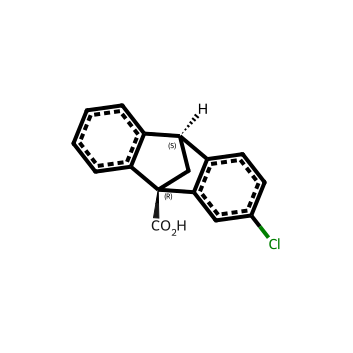 O=C(O)[C@]12C[C@@H](c3ccccc31)c1ccc(Cl)cc12